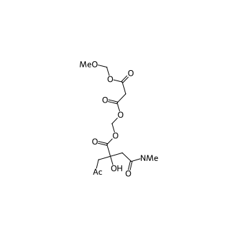 CNC(=O)CC(O)(CC(C)=O)C(=O)OCOC(=O)CC(=O)OCOC